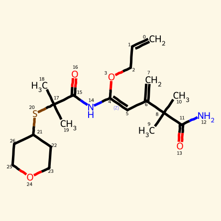 C=CCO/C(=C\C(=C)C(C)(C)C(N)=O)NC(=O)C(C)(C)SC1CCOCC1